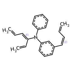 C=C/C=C\c1cccc(N(/C(C=C)=C/C=C)c2ccccc2)c1